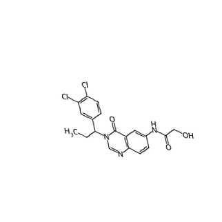 CCC(c1ccc(Cl)c(Cl)c1)n1cnc2ccc(NC(=O)CO)cc2c1=O